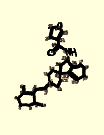 C=C1CCCC(C)=C1CCN1CCC2(CC1)C[C@H](NC(=O)c1ccoc1)c1ccccc12